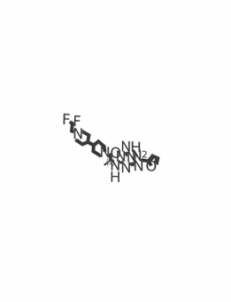 C[C@H](Nc1nc(N)n2nc(-c3ccco3)nc2n1)C(=O)N1CCC(C2CCN(CC(F)F)CC2)CC1